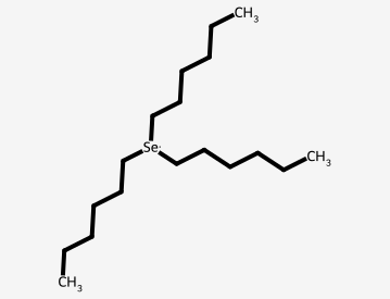 CCCCCC[Se](CCCCCC)CCCCCC